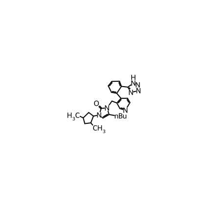 CCCCc1cn(C2CC(C)CC2C)c(=O)n1Cc1cnccc1-c1ccccc1-c1nnn[nH]1